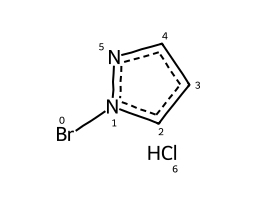 Brn1cccn1.Cl